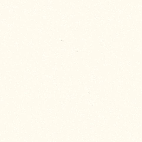 CC(c1ccccc1CO)N1CCC(C(F)(F)CCCCc2ccc3c(n2)NCCC3)C1